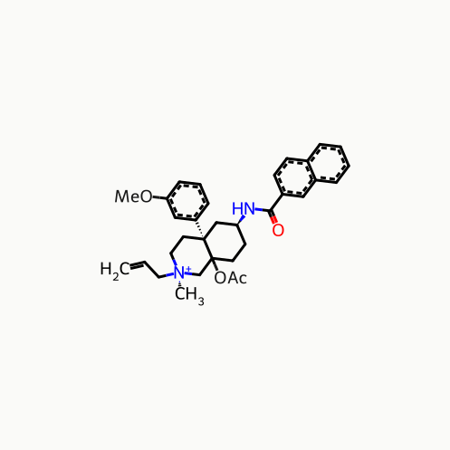 C=CC[N@@+]1(C)CC[C@@]2(c3cccc(OC)c3)C[C@@H](NC(=O)c3ccc4ccccc4c3)CCC2(OC(C)=O)C1